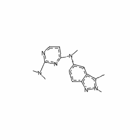 Cc1c2cc(N(C)c3ccnc(N(C)C)n3)ccc2nn1C